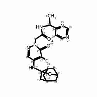 CC(NC(=O)Cn1ncc(NC23CC4CC(CC2C4)C3)c(Cl)c1=O)c1ccncn1